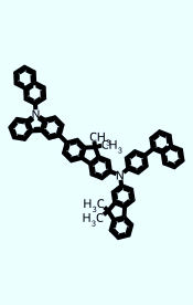 CC1(C)c2ccccc2-c2ccc(N(c3ccc(-c4cccc5ccccc45)cc3)c3ccc4c(c3)C(C)(C)c3cc(-c5ccc6c(c5)c5ccccc5n6-c5ccc6ccccc6c5)ccc3-4)cc21